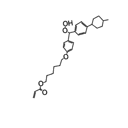 C=CC(=O)OCCCCCCOc1ccc(C(OO)c2ccc(C3CCC(C)CC3)cc2)cc1